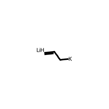 C=C[CH2][K].[LiH]